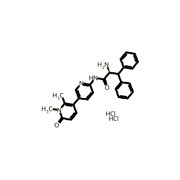 Cc1c(-c2ccc(NC(=O)[C@@H](N)C(c3ccccc3)c3ccccc3)nc2)ccc(=O)n1C.Cl.Cl